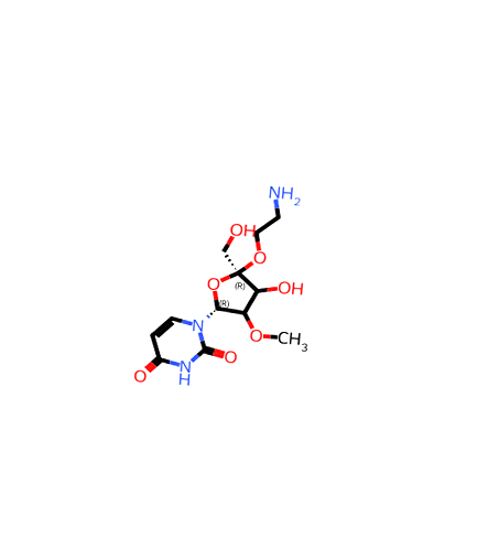 COC1C(O)[C@](CO)(OCCN)O[C@H]1n1ccc(=O)[nH]c1=O